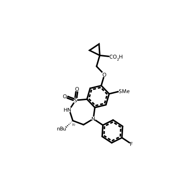 CCCC[C@H]1CN(c2ccc(F)cc2)c2cc(SC)c(OCC3(C(=O)O)CC3)cc2S(=O)(=O)N1